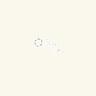 Cc1cccc(C)c1CN1CCN(CC(=O)N(C)C)CC1